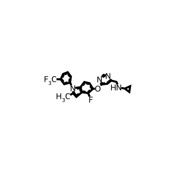 Cc1cc2c(F)c(Oc3cc(CNC4CC4)ncn3)ccc2n1-c1cccc(C(F)(F)F)c1